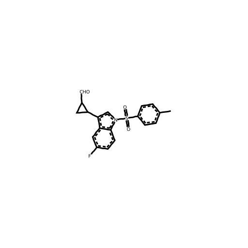 Cc1ccc(S(=O)(=O)n2cc(C3CC3C=O)c3cc(F)ccc32)cc1